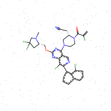 C=C(F)C(=O)N1CCN(c2nc(OC[C@@H]3CC(F)(F)CN3C)nc3c(F)c(-c4cccc5cccc(Cl)c45)ncc23)C[C@@H]1CC#N